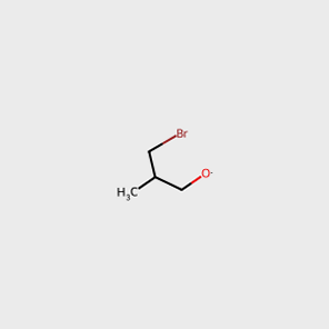 CC(C[O])CBr